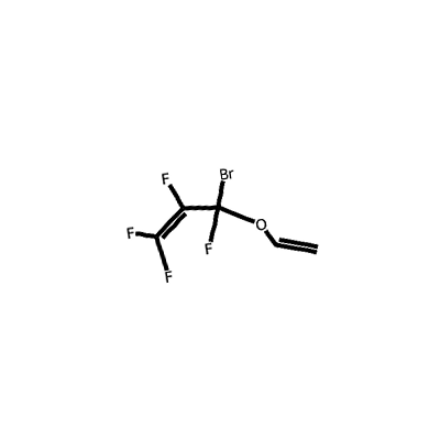 C=COC(F)(Br)C(F)=C(F)F